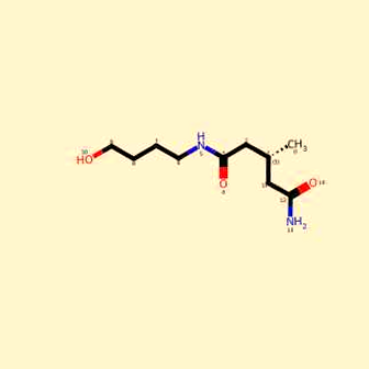 C[C@@H]([CH]C(=O)NCCCCO)CC(N)=O